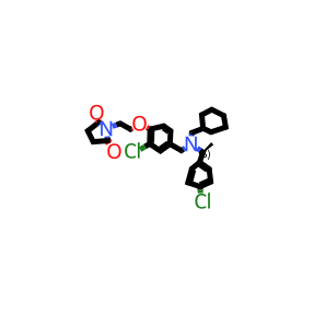 C[C@@H](c1ccc(Cl)cc1)N(Cc1ccc(OCCN2C(=O)CCC2=O)c(Cl)c1)CC1CCCCC1